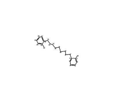 Cc1ccccc1CCCCCCCCCc1ccccc1C